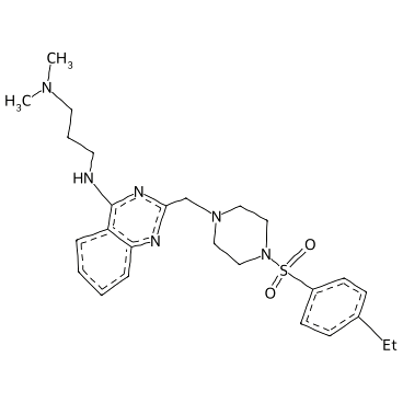 CCc1ccc(S(=O)(=O)N2CCN(Cc3nc(NCCCN(C)C)c4ccccc4n3)CC2)cc1